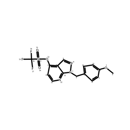 COc1ccc(Cn2ncc3c(OS(=O)(=O)C(F)(F)F)ccnc32)cc1